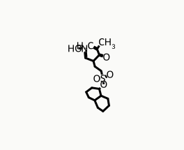 C=C(C)C(=O)C(C=NO)CCS(=O)(=O)OC1CCCC2CCCCC21